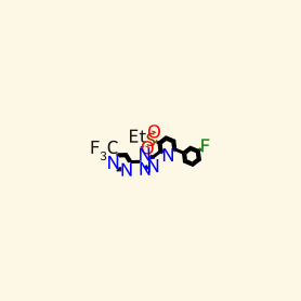 CCS(=O)(=O)c1ccc(-c2cccc(F)c2)nc1-c1nnc(-c2cc(C(F)(F)F)ncn2)n1C